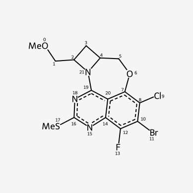 COCC1CC2COc3c(Cl)c(Br)c(F)c4nc(SC)nc(c34)N12